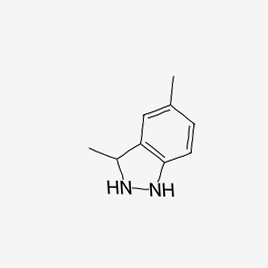 Cc1ccc2c(c1)C(C)NN2